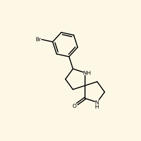 O=C1NCCC12CCC(c1cccc(Br)c1)N2